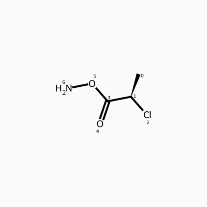 C[C@@H](Cl)C(=O)ON